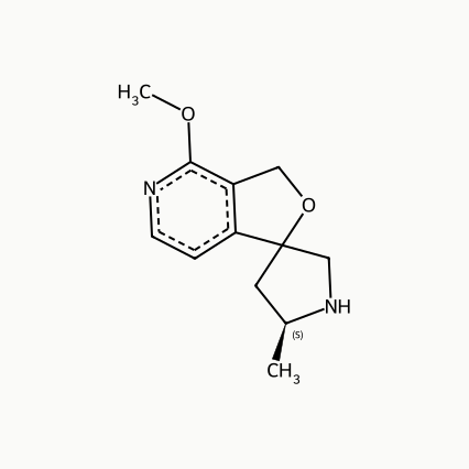 COc1nccc2c1COC21CN[C@@H](C)C1